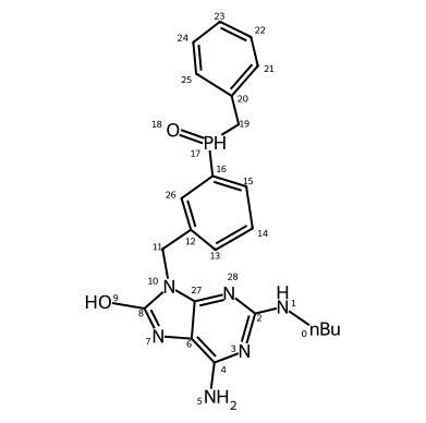 CCCCNc1nc(N)c2nc(O)n(Cc3cccc([PH](=O)Cc4ccccc4)c3)c2n1